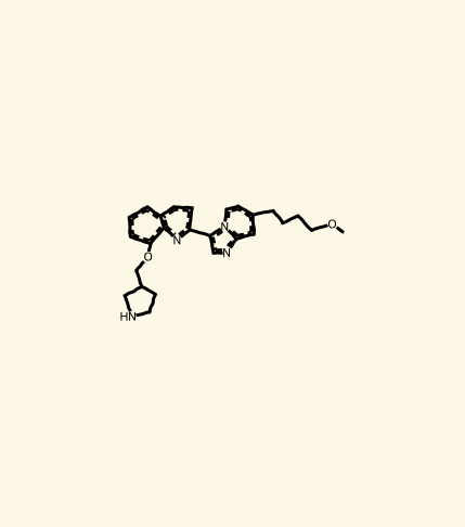 COCCCCc1ccn2c(-c3ccc4cccc(OCC5CCNC5)c4n3)cnc2c1